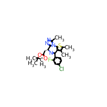 Cc1sc2c(c1C)C(c1ccc(Cl)cc1F)=N[C@H](CC(=O)OC(C)(C)C)c1nnc(C)n1-2